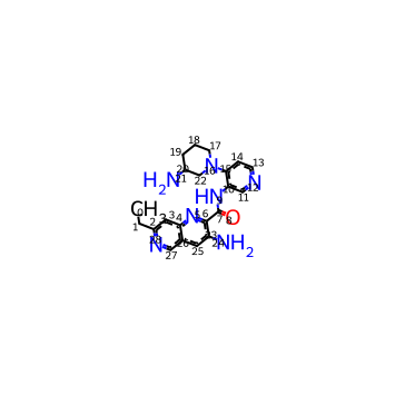 CCc1cc2nc(C(=O)Nc3cnccc3N3CCCC(N)C3)c(N)cc2cn1